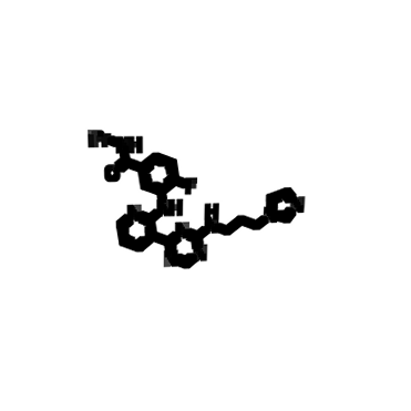 CC(C)NC(=O)c1ccc(F)c(Nc2ncccc2-c2ncnc(NCCCn3ccnc3)n2)c1